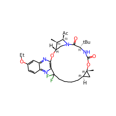 CCOc1ccc2nc3c(nc2c1)O[C@H]1CN(C(=O)[C@H](C(C)(C)C)NC(=O)O[C@]2(C)C[C@H]2CCCCC3(F)F)[C@H](C(C)=O)[C@@H]1C